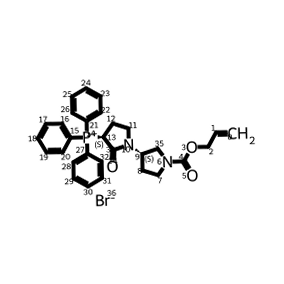 C=CCOC(=O)N1CC[C@H](N2CC[C@H]([P+](c3ccccc3)(c3ccccc3)c3ccccc3)C2=O)C1.[Br-]